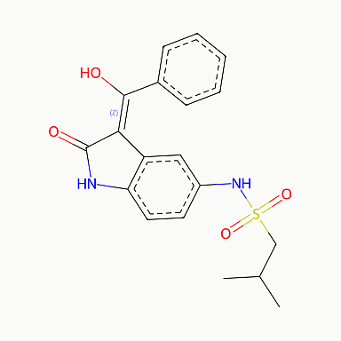 CC(C)CS(=O)(=O)Nc1ccc2c(c1)/C(=C(/O)c1ccccc1)C(=O)N2